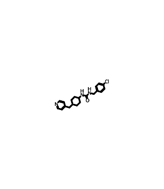 O=C(NCc1ccc(Cl)cc1)NC1CCC(Cc2ccncc2)CC1